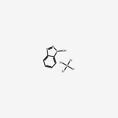 CC[N+](CC)(CC)CC.On1nnc2ccccc21